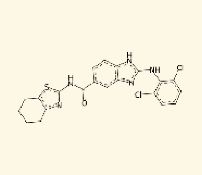 O=C(Nc1nc2c(s1)CCCC2)c1ccc2[nH]c(Nc3c(Cl)cccc3Cl)nc2c1